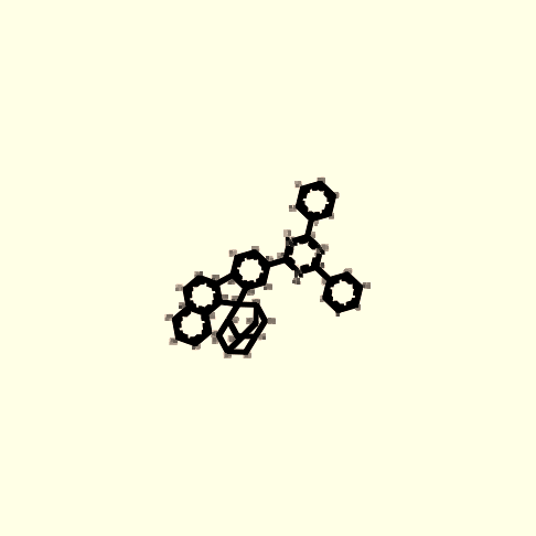 c1ccc(-c2nc(-c3ccccc3)nc(-c3ccc4c(c3)C3(c5c-4ccc4ccccc54)C4CC5CC(C4)CC3C5)n2)cc1